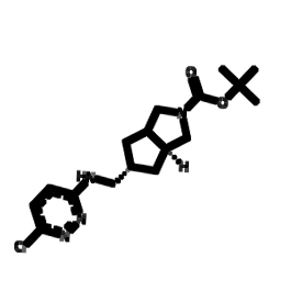 CC(C)(C)OC(=O)N1CC2C[C@@H](CNc3ccc(Cl)nn3)C[C@@H]2C1